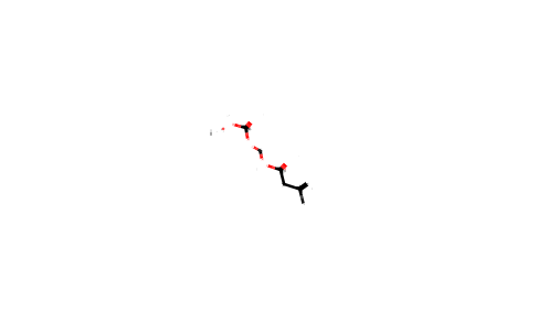 C=C(CC(=O)OCOC(=O)OC(C)C)C(=O)O